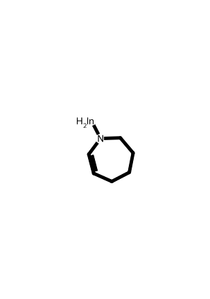 [InH2][N]1C=CCCCC1